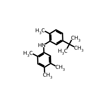 Cc1cc(C)c(Nc2cc(C(C)(C)C)ccc2C)cc1C